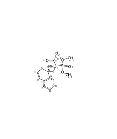 COP(=O)(OC)C(CC1(N)CC=Cc2ccccc21)C(C)=O